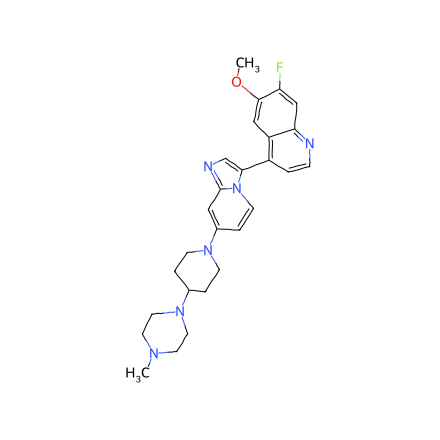 COc1cc2c(-c3cnc4cc(N5CCC(N6CCN(C)CC6)CC5)ccn34)ccnc2cc1F